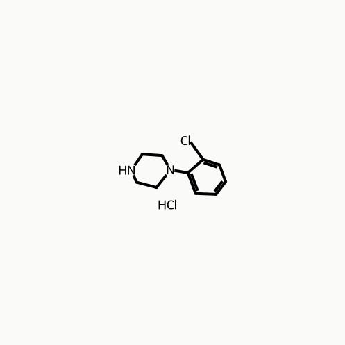 Cl.Clc1ccccc1N1CCNCC1